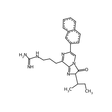 CCC(C)C1N=C2C(CCCNC(=N)N)=NC(c3ccc4ccccc4c3)=CN2C1=O